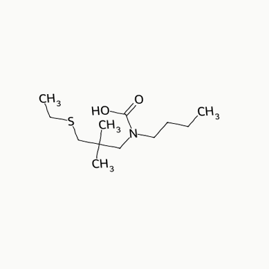 CCCCN(CC(C)(C)CSCC)C(=O)O